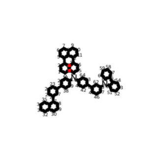 c1ccc(-c2cccc3cccc(-c4ccc(N(c5ccc(-c6cccc(-c7cccc8ccccc78)c6)cc5)c5ccc(-c6cccc(-n7c8ccccc8c8ccccc87)c6)cc5)cc4)c23)cc1